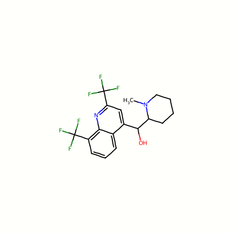 CN1CCCCC1C(O)c1cc(C(F)(F)F)nc2c(C(F)(F)F)cccc12